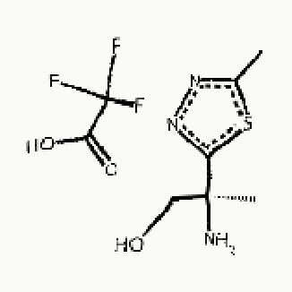 Cc1nnc([C@@](C)(N)CO)s1.O=C(O)C(F)(F)F